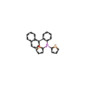 c1csc(P(c2cccs2)c2ccccc2-c2cccc3ccccc23)c1